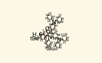 Cc1cc2c3c(c1)N(c1ccc(C(C)(C)C)cc1-c1cccc(C(C)(C)C)c1)c1cc(N(c4ccccc4)c4ccccc4)ccc1B3c1ccc(N(c3ccccc3)c3ccccc3)cc1O2